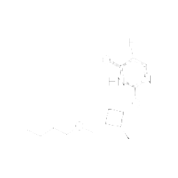 CCCCOC[C@@H]1C[C@H](Oc2ncc(F)c(=O)[nH]2)[C@H]1C